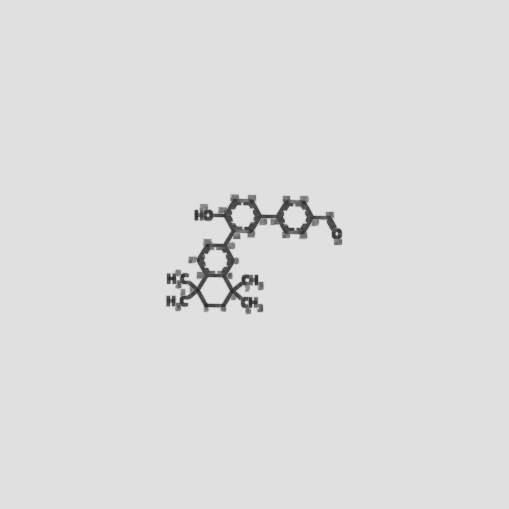 CC1(C)CCC(C)(C)c2cc(-c3cc(-c4ccc(C=O)cc4)ccc3O)ccc21